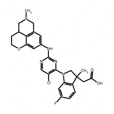 CN1Cc2cc(Nc3ncc(Cl)c(N4CC(C)(CC(=O)O)c5ccc(F)cc54)n3)cc3c2C(CCO3)C1